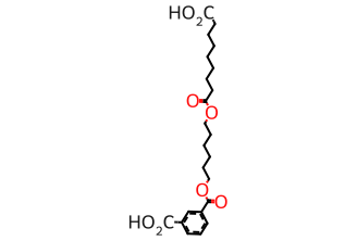 O=C(O)CCCCCCCC(=O)OCCCCCCOC(=O)c1cccc(C(=O)O)c1